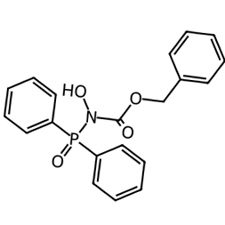 O=C(OCc1ccccc1)N(O)P(=O)(c1ccccc1)c1ccccc1